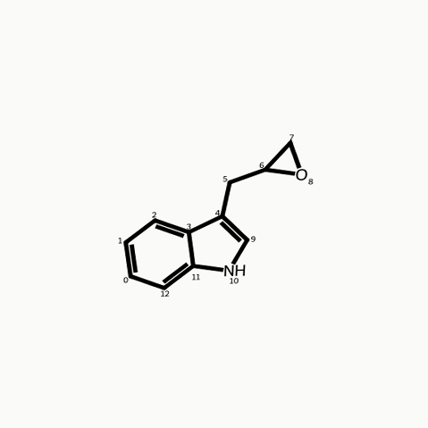 c1ccc2c(CC3CO3)c[nH]c2c1